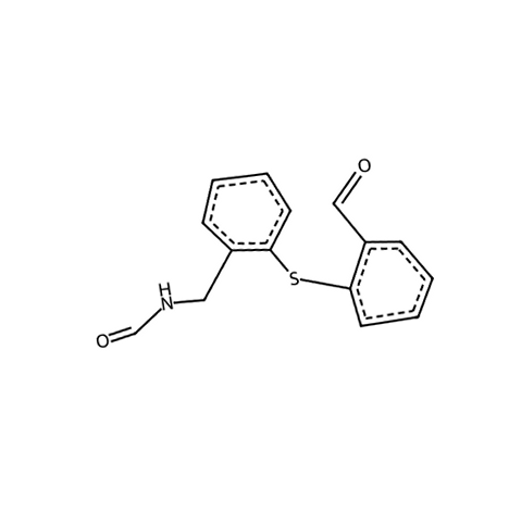 O=CNCc1ccccc1Sc1ccccc1C=O